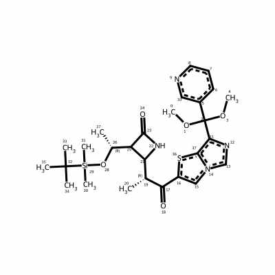 COC(OC)(c1cccnc1)c1ncn2cc(C(=O)[C@H](C)C3NC(=O)C3[C@@H](C)O[Si](C)(C)C(C)(C)C)sc12